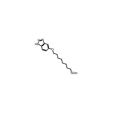 CCCCCCCCCCCCCCCCCCOc1ccc2[nH]nnc2c1